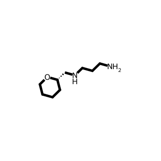 NCCCNC[C@@H]1CCCCO1